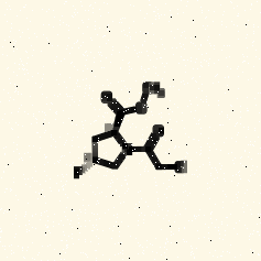 COC(=O)[C@@H]1C[C@@H](F)CN1C(=O)CCl